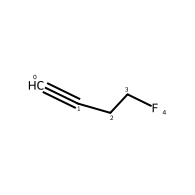 C#CCCF